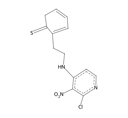 O=[N+]([O-])c1c(NCCC2=CC=CCC2=S)ccnc1Cl